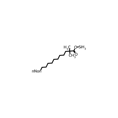 CCCCCCCCCCCCCCCCCCC(C)(C)C(=O)O[SiH3]